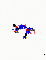 CCS(=O)(=O)Nc1ccc(-c2n[nH]c(Nc3ccc(C(=O)NCCCC(=O)N[C@H](C(=O)N4C[C@H](O)CC4C(=O)NCc4ccc(-c5scnc5C)cc4)C(C)(C)C)cn3)c2C(N)=O)cc1O[C@@H](C)c1ccc(C)cc1